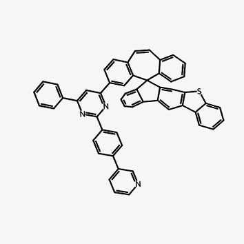 C1=Cc2ccc(-c3cc(-c4ccccc4)nc(-c4ccc(-c5cccnc5)cc4)n3)cc2C2(c3ccccc31)c1ccccc1-c1cc3c(cc12)sc1ccccc13